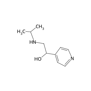 CC(C)NCC(O)c1ccncc1